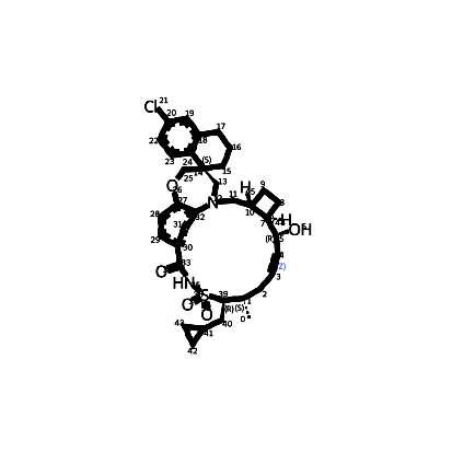 C[C@H]1C/C=C\[C@H](O)[C@@H]2CC[C@H]2CN2C[C@@]3(CCCc4cc(Cl)ccc43)COc3ccc(cc32)C(=O)NS(=O)(=O)[C@@H]1CC1CC1